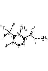 COC(=O)c1ccc(F)c(C(F)(F)F)c1C